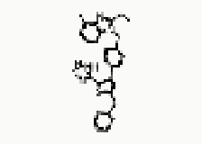 CCc1nc2c(C)cccc2n1Cc1ccc(-c2cc(Cc3ccccc3)sc2-c2nnn[nH]2)cc1